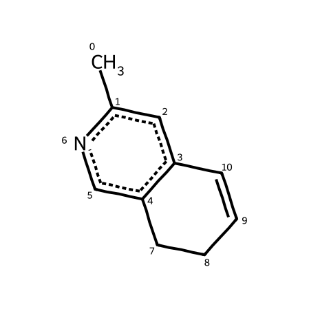 Cc1cc2c(cn1)CCC=C2